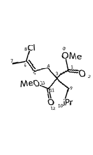 COC(=O)C(CC=C(C)Cl)(CC(C)C)C(=O)OC